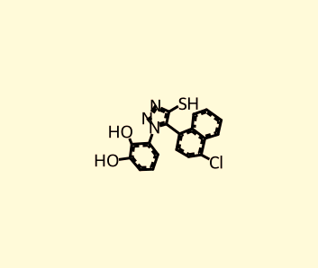 Oc1cccc(-n2nnc(S)c2-c2ccc(Cl)c3ccccc23)c1O